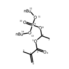 C=C(C)C(=O)OC(C)OP(=O)(OCCCC)OCCCC